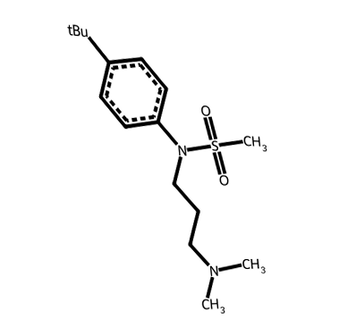 CN(C)CCCN(c1ccc(C(C)(C)C)cc1)S(C)(=O)=O